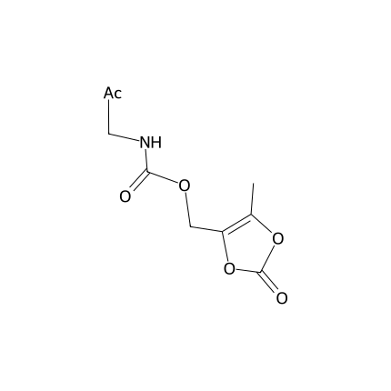 CC(=O)CNC(=O)OCc1oc(=O)oc1C